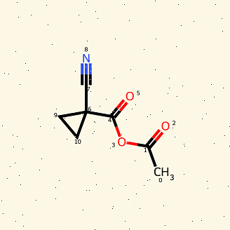 CC(=O)OC(=O)C1(C#N)CC1